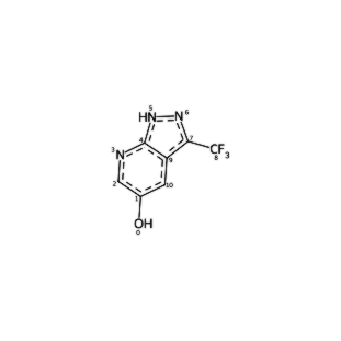 Oc1cnc2[nH]nc(C(F)(F)F)c2c1